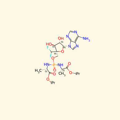 CC(C)OC(=O)[C@H](C)NP(=O)(N[C@@H](C)C(=O)OC(C)C)OC[C@@]1(C(F)F)O[C@@H](n2cnc3c(N)ncnc32)[C@@H](O)[C@@H]1O